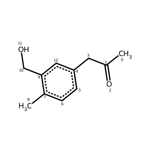 CC(=O)Cc1ccc(C)c(CO)c1